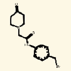 CC(C)Cc1ccc(NC(=O)CN2CCC(=O)CC2)cc1